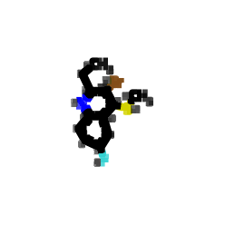 CCc1nc2ccc(F)cc2c(SC)c1Br